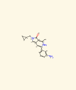 Cc1[nH]c(-c2cccc(N)c2)cc2cn(CC3CC3)c(=O)c1-2